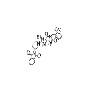 CCn1c(N2CCC[C@@H](N3C(=O)c4ccccc4C3=O)C2)nc2c1c(=O)n(Cc1ncccc1C#N)c(=O)n2C